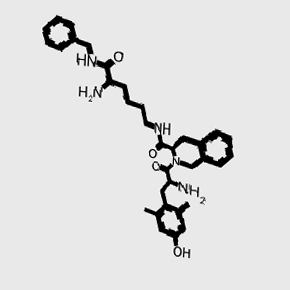 Cc1cc(O)cc(C)c1CC(N)C(=O)N1Cc2ccccc2CC1C(=O)NCCCCC(N)C(=O)NCc1ccccc1